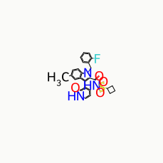 Cc1ccc2c(c1)c(-c1ccc[nH]c1=O)c(C(=O)NS(=O)(=O)C1CCC1)n2Cc1ccccc1F